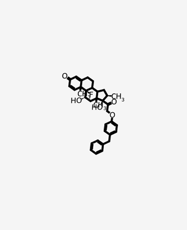 C[C@@H]1CC2C3CCC4=CC(=O)C=CC4(C)[C@@]3(F)[C@@H](O)CC2(C)[C@@]1(O)C(=O)COc1ccc(Cc2ccccc2)cc1